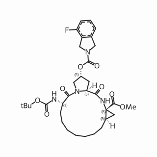 COC(=O)[C@@]12C[C@H]1CCCCCCC[C@H](NC(=O)OC(C)(C)C)C(=O)N1C[C@H](OC(=O)N3Cc4cccc(F)c4C3)C[C@H]1C(=O)N2